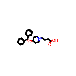 O=C(O)CCCN1CCC(OC(c2ccccc2)c2ccccc2)CC1